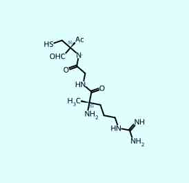 CC(=O)[C@@](C=O)(CS)[N]C(=O)CNC(=O)[C@@](C)(N)CCCNC(=N)N